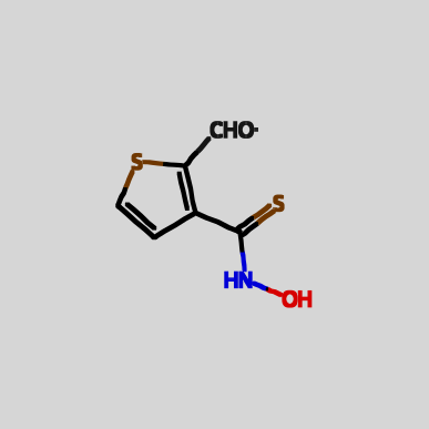 O=[C]c1sccc1C(=S)NO